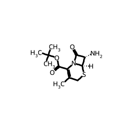 CC1=C(C(=O)OC(C)(C)C)N2C(=O)[C@H](N)[C@H]2SC1